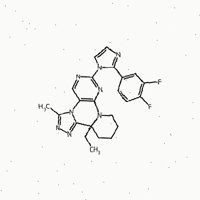 CCC12CCCCN1c1nc(-n3ccnc3-c3ccc(F)c(F)c3)ncc1-n1c(C)nnc12